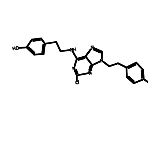 Oc1ccc(CCNc2nc(Cl)nc3c2ncn3CCc2ccc(F)cc2)cc1